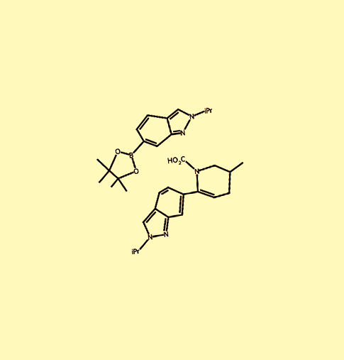 CC(C)n1cc2ccc(B3OC(C)(C)C(C)(C)O3)cc2n1.CC1CC=C(c2ccc3cn(C(C)C)nc3c2)N(C(=O)O)C1